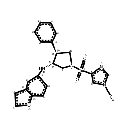 Cn1cnc(S(=O)(=O)N2C[C@H](Nc3ccc4occc4c3)[C@@H](c3ccccc3)C2)c1